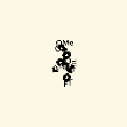 COC(=O)CC(C)(C)c1ccc(O)c(-c2ccc(N3CCC3)nc2CN2C(=O)O[C@H](c3ccc(F)c(F)c3)[C@@H]2C)c1